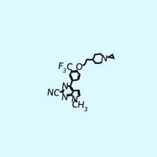 Cn1ccc2c(-c3ccc(OCCC4CCN(C5CC5)CC4)c(C(F)(F)F)c3)nc(C#N)nc21